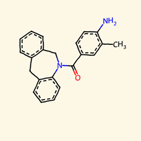 Cc1cc(C(=O)N2Cc3ccccc3Cc3ccccc32)ccc1N